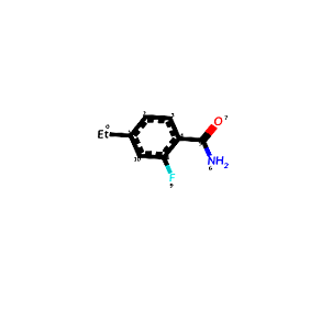 CCc1ccc(C(N)=O)c(F)c1